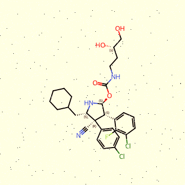 N#C[C@]1(c2ccc(Cl)cc2)[C@H](CC2CCCCC2)N[C@@H](OC(=O)NCC[C@H](O)CO)[C@@H]1c1cccc(Cl)c1F